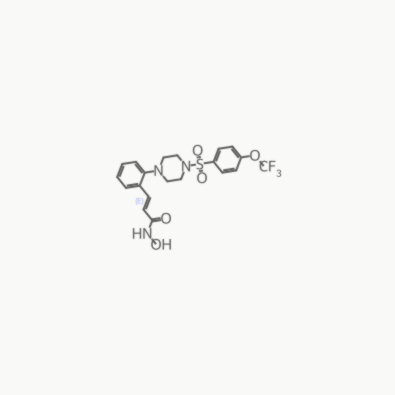 O=C(/C=C/c1ccccc1N1CCN(S(=O)(=O)c2ccc(OC(F)(F)F)cc2)CC1)NO